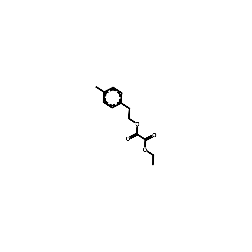 CCOC(=O)C(=O)OCCc1ccc(C)cc1